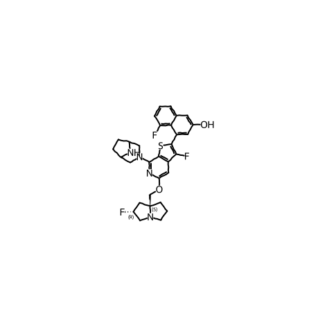 Oc1cc(-c2sc3c(N4CC5CCC(C4)N5)nc(OC[C@@]45CCCN4C[C@H](F)C5)cc3c2F)c2c(F)cccc2c1